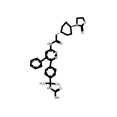 CC(C)(NC(=O)O)c1ccc(-c2nnc(NC(=O)C[C@H]3CC[C@H](N4CCOC4=O)CC3)cc2-c2ccccc2)cc1